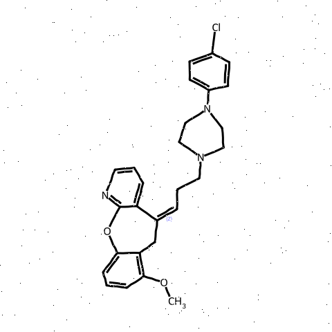 COc1cccc2c1C/C(=C/CCN1CCN(c3ccc(Cl)cc3)CC1)c1cccnc1O2